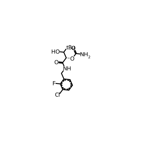 CC(C)(C)C(O)[C@H](OC(N)=O)C(=O)NCc1cccc(Cl)c1F